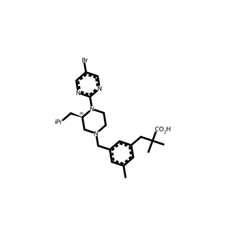 Cc1cc(CN2CCN(c3ncc(Br)cn3)[C@H](CC(C)C)C2)cc(CC(C)(C)C(=O)O)c1